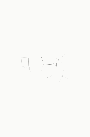 C[C@@H]1[C@@H](CN2CCC2)C[C@@H](C(C)(C)C)N1C(C)(C)C